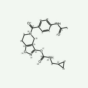 CC(=O)Nc1ccc(C(=O)N2CCc3onc(OC(=O)NCC4CC4)c3C2)cc1